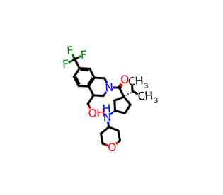 CC(C)[C@]1(C(=O)N2Cc3cc(C(F)(F)F)ccc3C(CO)C2)CC[C@@H](NC2CCOCC2)C1